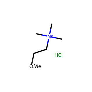 COCC[N+](C)(C)C.Cl